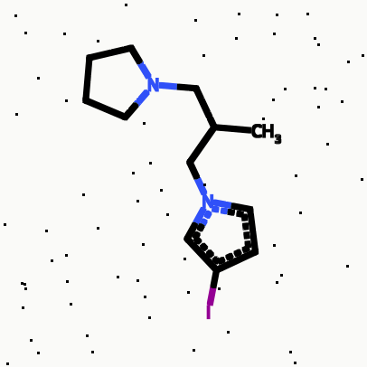 CC(CN1CCCC1)Cn1ccc(I)c1